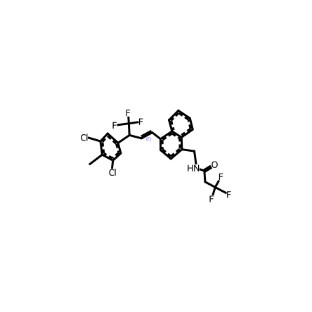 Cc1c(Cl)cc(C(/C=C/c2ccc(CNC(=O)CC(F)(F)F)c3ccccc23)C(F)(F)F)cc1Cl